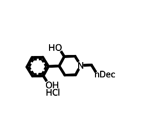 CCCCCCCCCCCN1CCC(c2ccccc2O)C(O)C1.Cl